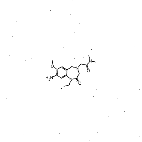 CCN1C(=O)CN(CC(=O)N(C)C)Cc2cc(OC)c(N)cc21